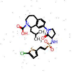 CC(C)CC1c2cc(N3CC[C@H](NS(=O)(=O)C=Cc4ccc(Cl)s4)C3=O)ccc2CCCN1C(=O)O